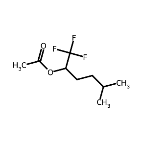 CC(=O)OC(CCC(C)C)C(F)(F)F